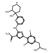 CC(O)Cc1cc(F)c(-c2cc(C(N)=O)c(Nc3cccc(C4(O)CCNCC4O)n3)s2)c(F)c1